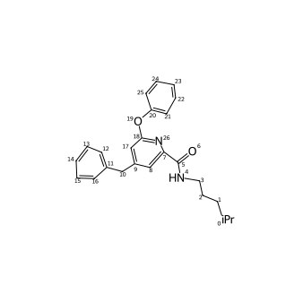 CC(C)CCCNC(=O)c1cc(Cc2ccccc2)cc(Oc2ccccc2)n1